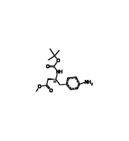 COC(=O)C[C@H](Cc1ccc(N)cc1)NC(=O)OC(C)(C)C